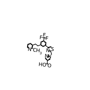 Cc1ncccc1CCc1cc(-c2csc(Cn3cc(C(=O)O)cn3)n2)cc(C(F)(F)F)c1